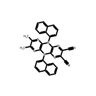 Cc1nc2c(nc1C)N(c1cccc3ccccc13)c1nc(C#N)c(C#N)nc1N2c1cccc2ccccc12